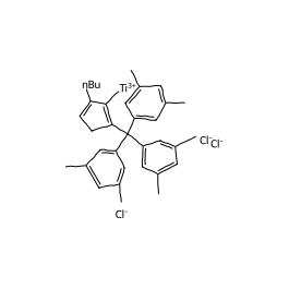 CCCCC1=CCC(C(c2cc(C)cc(C)c2)(c2cc(C)cc(C)c2)c2cc(C)cc(C)c2)=[C]1[Ti+3].[Cl-].[Cl-].[Cl-]